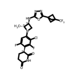 C[C@@H]1[C@@H](Nc2nnc(C34CC(C(F)(F)F)(C3)C4)o2)CN1c1cc(F)c([C@@H]2CCC(=O)NC2=O)c(F)c1Cl